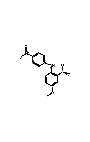 COc1ccc(Nc2ccc([N+](=O)[O-])cc2)c([N+](=O)[O-])c1